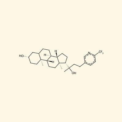 CC(O)(CCc1ccc(C(F)(F)F)nc1)[C@H]1CC[C@H]2[C@@H]3CCC4C[C@@H](O)CC[C@]4(C)[C@H]3CC[C@]12C